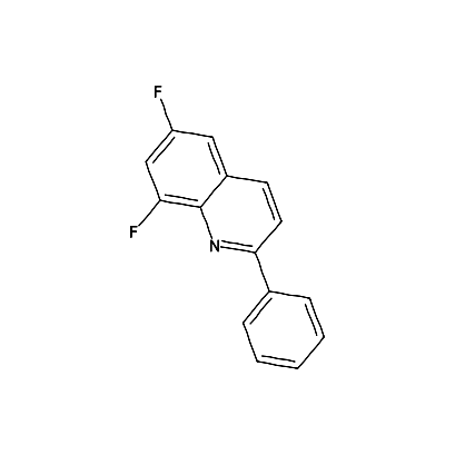 Fc1cc(F)c2nc(-c3ccccc3)ccc2c1